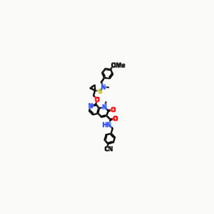 COc1ccc(CN(C)SC2(COc3nccc4cc(C(=O)NCc5ccc(C#N)cc5)c(=O)n(C)c34)CC2)cc1